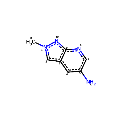 Cn1cc2cc(N)cnc2n1